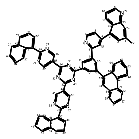 Cc1cc(-c2ccnc(-c3cc(-c4nc(-c5cnc(-c6cccc7ccccc67)nc5)nc(-c5cnc(-c6cccc7ccccc67)nc5)n4)cc(-c4cc5ccccc5c5ccccc45)c3)c2)c2cccnc2c1